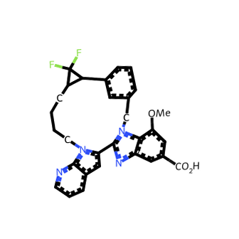 COc1cc(C(=O)O)cc2nc3n(c12)Cc1cccc(c1)C1C(CCCCn2c-3cc3cccnc32)C1(F)F